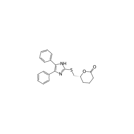 O=C1CCC[C@H](CSc2nc(-c3ccccc3)c(-c3ccccc3)[nH]2)O1